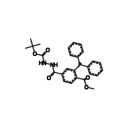 COC(=O)c1ccc(C(=O)NNC(=O)OC(C)(C)C)cc1P(c1ccccc1)c1ccccc1